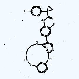 O=C(Nc1ccc(-c2cnc3nc2NCCCNSc2cccc(c2)N3)cc1F)C1(c2ccc(F)cc2)CC1